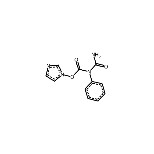 NC(=O)N(C(=O)On1ccnc1)c1ccccc1